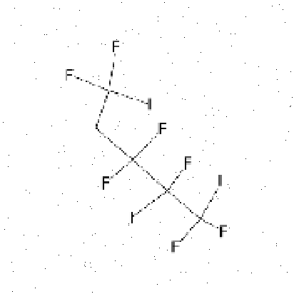 FC(F)(I)CC(F)(F)C(F)(I)C(F)(F)F